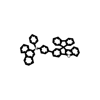 c1ccc(N(c2ccc(-c3ccc4c(c3)C3(c5ccccc5-c5ccccc53)c3c-4oc4ccccc34)cc2)c2cc3ccccc3c3ccccc23)cc1